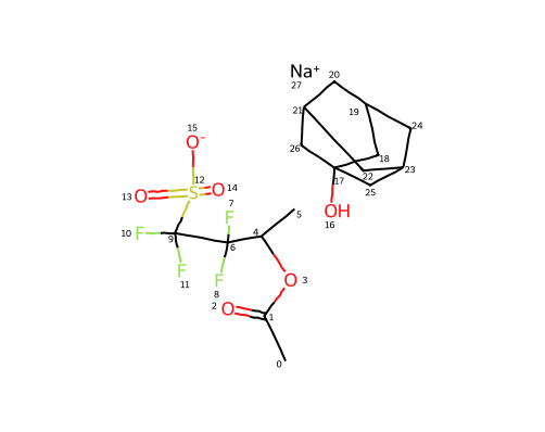 CC(=O)OC(C)C(F)(F)C(F)(F)S(=O)(=O)[O-].OC12CC3CC(CC(C3)C1)C2.[Na+]